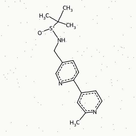 Cc1cc(-c2ccc(CN[S+]([O-])C(C)(C)C)cn2)ccn1